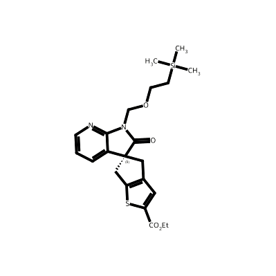 CCOC(=O)c1cc2c(s1)C[C@@]1(C2)C(=O)N(COCC[Si](C)(C)C)c2ncccc21